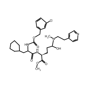 COC(=O)[C@H](CCC(O)N(C)CCc1ccncc1)NC(=O)C(CC1CCCCC1)NC(=O)OCc1cccc(Cl)c1